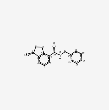 O=C1CCc2c1cccc2C(=O)NCc1ccccc1